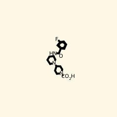 O=C(NC1CCCN(C2CCN(C(=O)O)CC2)C1)c1cccc(F)c1